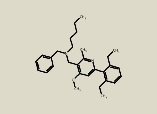 CCCCCN(Cc1ccccc1)Cc1c(OC)cc(-c2c(CC)cccc2CC)nc1C